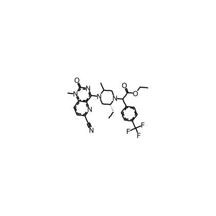 CCOC(=O)C(c1ccc(C(F)(F)F)cc1)N1CC(C)N(c2nc(=O)n(C)c3ccc(C#N)nc23)C[C@H]1CC